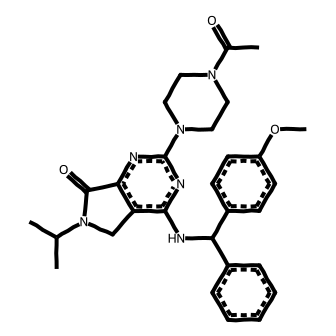 COc1ccc(C(Nc2nc(N3CCN(C(C)=O)CC3)nc3c2CN(C(C)C)C3=O)c2ccccc2)cc1